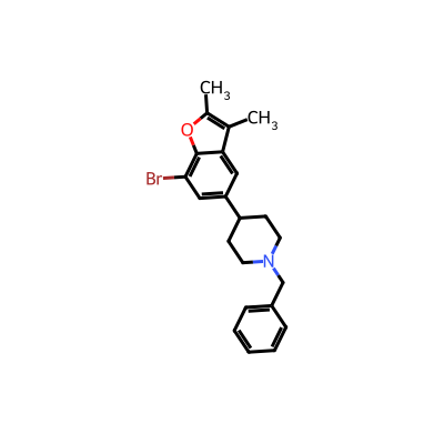 Cc1oc2c(Br)cc(C3CCN(Cc4ccccc4)CC3)cc2c1C